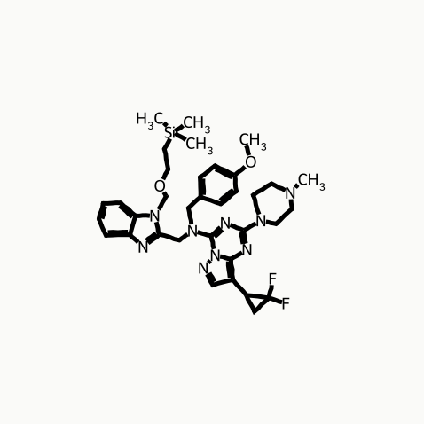 COc1ccc(CN(Cc2nc3ccccc3n2COCC[Si](C)(C)C)c2nc(N3CCN(C)CC3)nc3c(C4CC4(F)F)cnn23)cc1